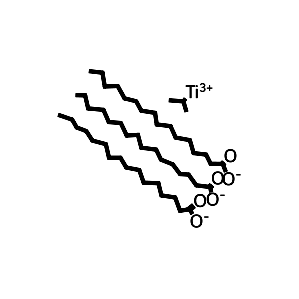 CCCCCCCCCCCCCCCC(=O)[O-].CCCCCCCCCCCCCCCC(=O)[O-].CCCCCCCCCCCCCCCC(=O)[O-].C[CH](C)[Ti+3]